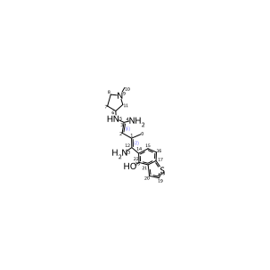 CC(/C=C(\N)NC1CCN(C)C1)=C(/N)c1ccc2sccc2c1O